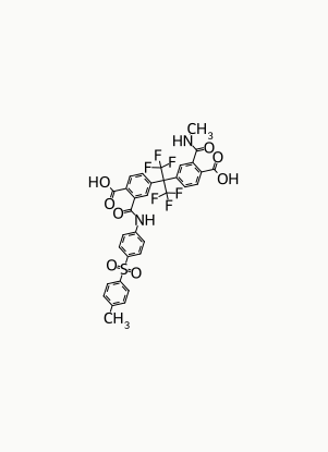 CNC(=O)c1cc(C(c2ccc(C(=O)O)c(C(=O)Nc3ccc(S(=O)(=O)c4ccc(C)cc4)cc3)c2)(C(F)(F)F)C(F)(F)F)ccc1C(=O)O